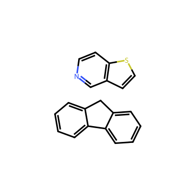 c1cc2sccc2cn1.c1ccc2c(c1)Cc1ccccc1-2